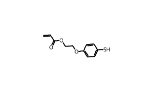 C=CC(=O)OCCOc1ccc(S)cc1